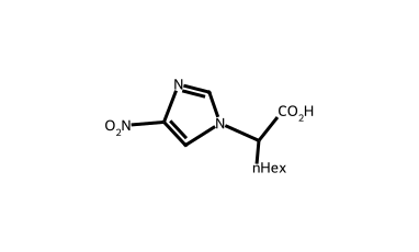 CCCCCCC(C(=O)O)n1cnc([N+](=O)[O-])c1